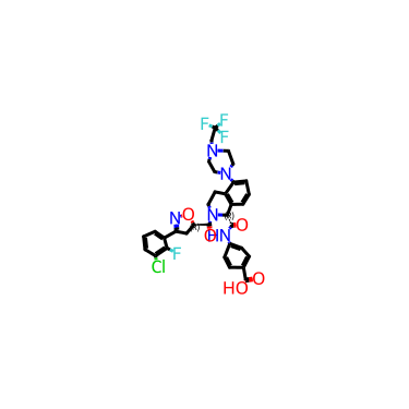 O=C(O)c1ccc(NC(=O)[C@H]2c3cccc(N4CCN(CC(F)(F)F)CC4)c3CCN2C(=O)[C@H]2CC(c3cccc(Cl)c3F)=NO2)cc1